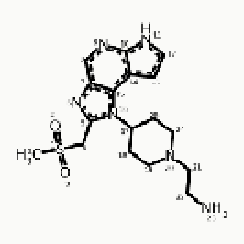 CS(=O)(=O)Cc1nc2cnc3[nH]ccc3c2n1C1CCN(CCN)CC1